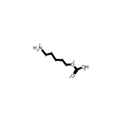 NCCCCCOC(=O)O